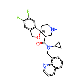 O=C(C1CNCC[C@@]12OCc1cc(F)c(F)cc12)N(Cc1cccc2cccnc12)C1CC1